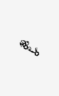 CCC(OC)(c1cccc(OCC#Cc2ccccc2F)c1)c1nccs1